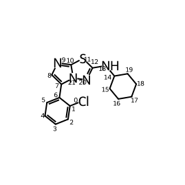 Clc1ccccc1-c1cnc2sc(NC3CCCCC3)nn12